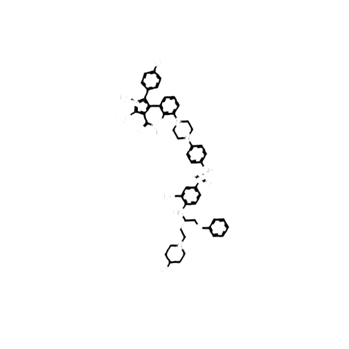 Cc1cc(S(=O)(=O)Nc2ccc(N3CCN(c4cccc(-c5c(C(=O)O)c(C)n(C)c5-c5ccc(Cl)cc5)c4F)CC3)cc2)ccc1N[C@H](CCN1CCC(O)CC1)CSc1ccccc1